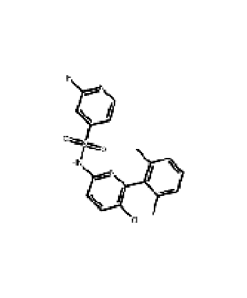 Cc1cccc(C)c1-c1nc(NS(=O)(=O)c2ccnc(F)c2)ccc1Cl